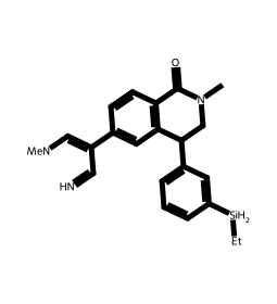 CC[SiH2]c1cccc(C2CN(C)C(=O)c3ccc(/C(C=N)=C/NC)cc32)c1